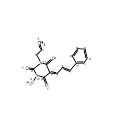 C=CCN1C(=O)/C(=C\C=C\c2ccccc2)C(=O)N(C)C1=O